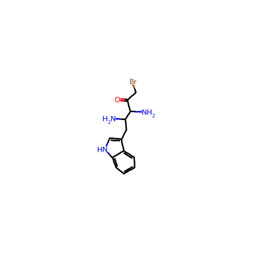 NC(Cc1c[nH]c2ccccc12)C(N)C(=O)CBr